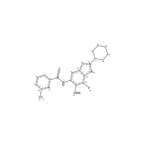 COc1c(NC(=O)c2cccc(C(F)(F)F)n2)cc2cn(C3CCCCC3)nc2c1F